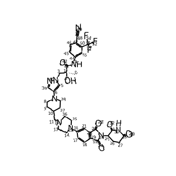 C[C@](O)(Cn1cc(N2CCC(CN3CCN(c4ccc5c(c4)C(=O)N(C4CCC(=O)NC4=O)C5=O)CC3)CC2)cn1)C(=O)Nc1ccc(C#N)c(C(F)(F)F)c1